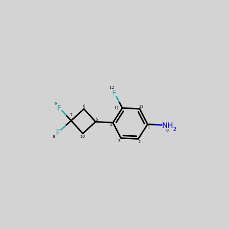 Nc1ccc(C2CC(F)(F)C2)c(F)c1